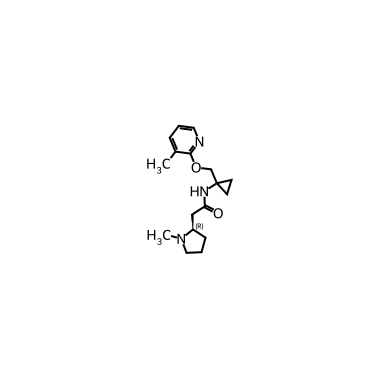 Cc1cccnc1OCC1(NC(=O)C[C@H]2CCCN2C)CC1